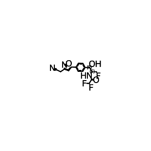 N#CCc1cc(-c2ccc([C@@H](O)[C@@H](CF)NC(=O)C(F)F)cc2)on1